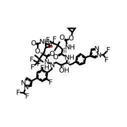 CC(C)([C@H](NC(=O)OC1CC1)C(=O)N[C@@H](Cc1ccc(-c2cnn(C(F)F)c2)cc1)[C@@H](O)CN(Cc1c(F)cc(-c2cnn(C(F)F)c2)cc1F)NC(=O)[C@](OC(N)=O)(C1CC1)C(C)(C)C(F)(F)F)C(F)(F)F